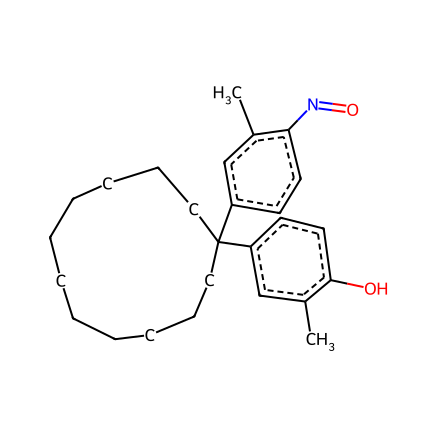 Cc1cc(C2(c3ccc(N=O)c(C)c3)CCCCCCCCCCC2)ccc1O